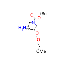 COCCOCOC1C[C@H](N)CN(C(=O)OC(C)(C)C)C1